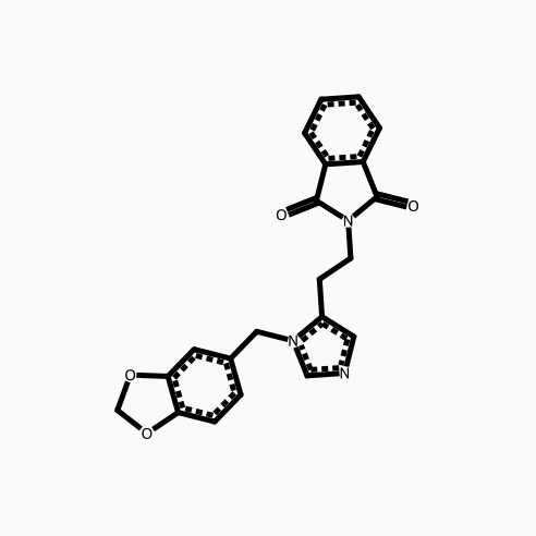 O=C1c2ccccc2C(=O)N1CCc1cncn1Cc1ccc2c(c1)OCO2